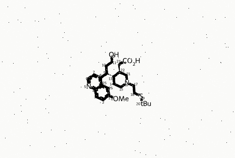 COc1ccc2nccc(C(CCO)[C@H]3CCN(CCSC(C)(C)C)C[C@@H]3CC(=O)O)c2c1